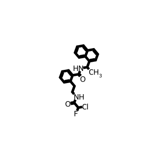 CC(NC(=O)c1ccccc1CCNC(=O)C(F)Cl)c1cccc2ccccc12